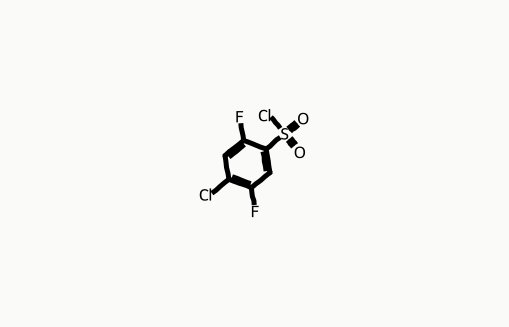 O=S(=O)(Cl)c1cc(F)c(Cl)cc1F